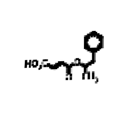 CC(Cc1ccccc1)OC(=O)C=CC(=O)O